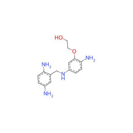 Nc1ccc(N)c(CNc2ccc(N)c(OCCO)c2)c1